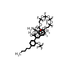 CCCCCc1ccc(-c2cc3ccc(SCC(F)(F)OC(F)(F)OC(F)(F)OC(F)(F)COC(=O)C(C)(CC(C)(C)N)C(C)(C)N)cc3oc2=O)c(OC(F)(F)F)c1